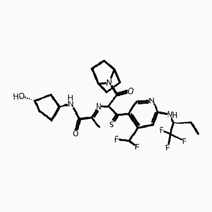 CC[C@H](Nc1cc(C(F)F)c(C(=S)C(/N=C(\C)C(=O)N[C@H]2CC[C@H](O)C2)C(=O)N2C3CCC2CC3)cn1)C(F)(F)F